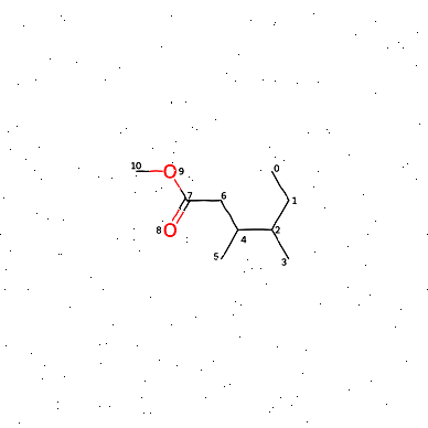 CCC(C)C(C)CC(=O)OC